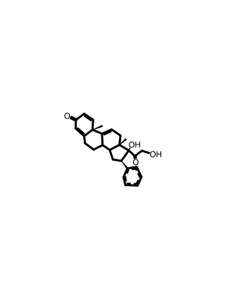 C[C@]12C=CC(=O)C=C1CCC1C2=CC[C@@]2(C)C1C[C@H](c1ccccc1)[C@]2(O)C(=O)CO